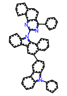 c1ccc(-c2nc(-n3c4ccccc4c4cc(-c5ccc6c(c5)c5ccccc5n6-c5ccccc5)c5ccccc5c43)nc3c2ccc2ccccc23)cc1